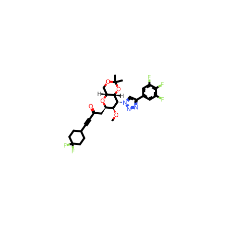 CO[C@@H]1[C@@H](n2cc(-c3cc(F)c(F)c(F)c3)nn2)[C@H]2OC(C)(C)OC[C@H]2O[C@@H]1CC(=O)C#CC1CCC(F)(F)CC1